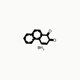 B.O=C1C=Cc2c(ccc3ccccc23)C1=O